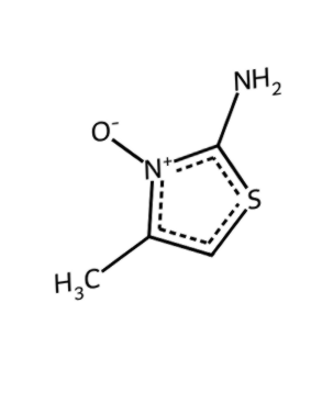 Cc1csc(N)[n+]1[O-]